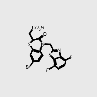 O=C(O)CC1Sc2cc(Br)ccc2N(Cc2nc3c(F)ccc(F)c3s2)C1=O